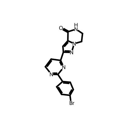 O=C1NCCn2nc(-c3ccnc(-c4ccc(Br)cc4)n3)cc21